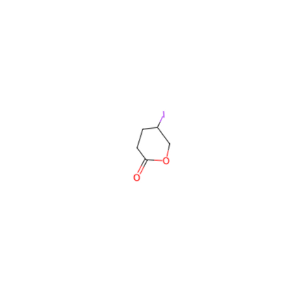 O=C1CCC(I)CO1